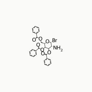 N[C@@H]1[C@@H](OC(=O)c2ccccc2)[C@@H](OC(=O)c2ccccc2)[C@@H](COC(=O)c2ccccc2)O[C@@H]1Br